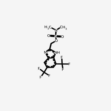 CN(C)S(=O)(=O)OCc1nc2cc(C(F)(F)F)cc(C(F)(F)F)c2[nH]1